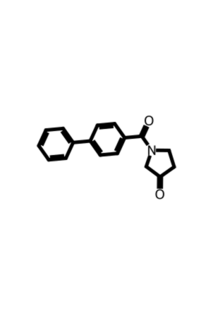 O=C1CCN(C(=O)c2ccc(-c3ccccc3)cc2)C1